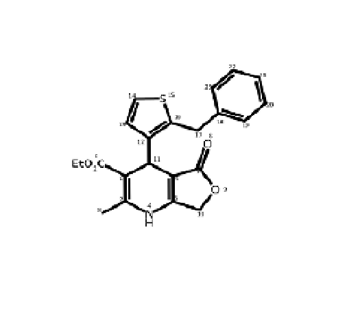 CCOC(=O)C1=C(C)NC2=C(C(=O)OC2)C1c1ccsc1Cc1ccccc1